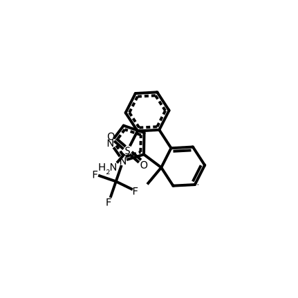 CC1(c2ccnn2C(F)(F)F)C[C]=CC=C1c1ccccc1S(N)(=O)=O